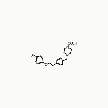 O=C(O)N1CCN(Cc2ccc(CCOc3ccc(Br)nc3)cc2)CC1